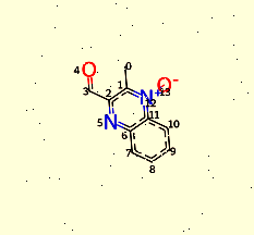 Cc1c(C=O)nc2ccccc2[n+]1[O-]